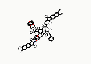 O=C1C(=Cc2cc3c(s2)-c2cc4c(cc2C(C(=O)OCc2ccccc2)(C(=O)OCc2ccccc2)O3)-c2sc(/C=C3/C(=O)c5cc6cc(F)c(F)cc6cc5C3O)cc2OC4(C(=O)OCc2ccccc2)C(=O)OCc2ccccc2)C(=O)c2cc3cc(F)c(F)cc3cc21